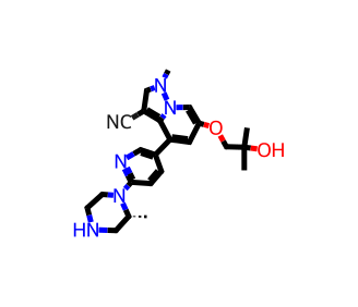 C[C@@H]1CNCCN1c1ccc(C2=CC(OCC(C)(C)O)=CN3C2=C(C#N)CN3C)cn1